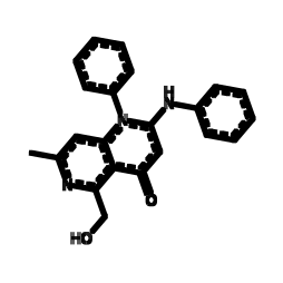 Cc1cc2c(c(CO)n1)c(=O)cc(Nc1ccccc1)n2-c1ccccc1